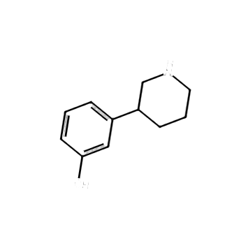 Oc1cccc(C2CCCNC2)c1